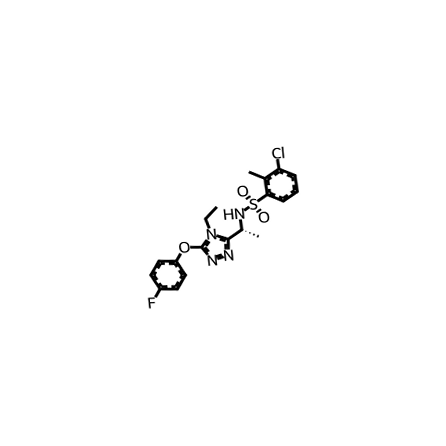 CCn1c(Oc2ccc(F)cc2)nnc1[C@@H](C)NS(=O)(=O)c1cccc(Cl)c1C